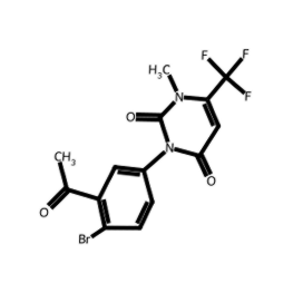 CC(=O)c1cc(-n2c(=O)cc(C(F)(F)F)n(C)c2=O)ccc1Br